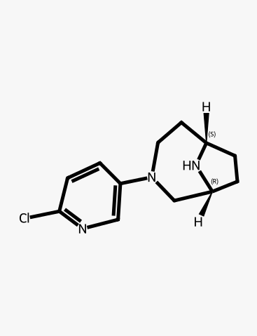 Clc1ccc(N2CC[C@@H]3CC[C@H](C2)N3)cn1